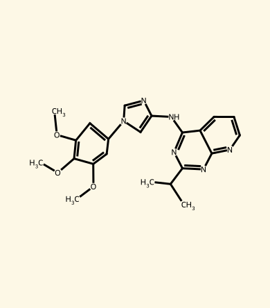 COc1cc(-n2cnc(Nc3nc(C(C)C)nc4ncccc34)c2)cc(OC)c1OC